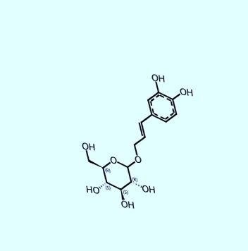 OC[C@H]1OC(OCC=Cc2ccc(O)c(O)c2)[C@H](O)[C@@H](O)[C@@H]1O